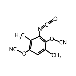 Cc1cc(OC#N)c(C)c(N=C=O)c1OC#N